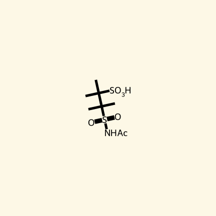 CC(=O)NS(=O)(=O)C(C)(C)C(C)(C)S(=O)(=O)O